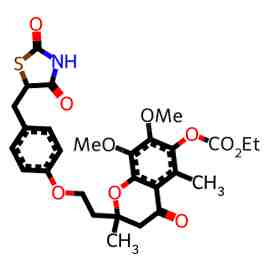 CCOC(=O)Oc1c(C)c2c(c(OC)c1OC)OC(C)(CCOc1ccc(CC3SC(=O)NC3=O)cc1)CC2=O